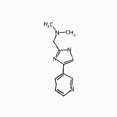 CN(C)CC1=NC(c2cccnc2)=C[N]1